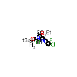 CCOC(=O)c1cn([C@@H](C(C)C)C(C)(C)O[SiH2]C(C)(C)C)c2c(Cl)nc(Cc3cccc(Cl)c3F)cc2c1=O